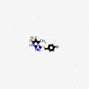 Cc1c(C)n2c(SCc3ccc(Br)cc3)nnc2[nH]c1=O